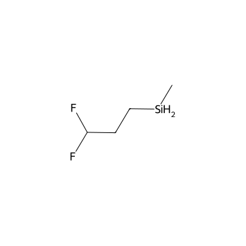 C[SiH2]CCC(F)F